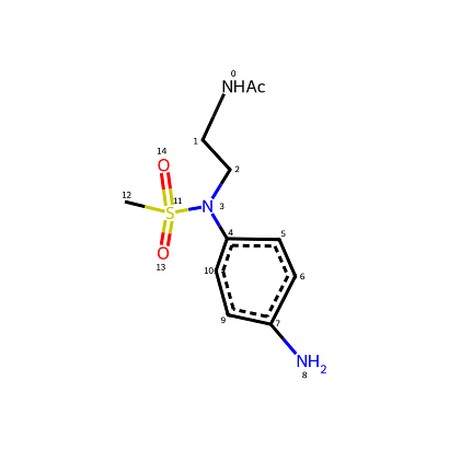 CC(=O)NCCN(c1ccc(N)cc1)S(C)(=O)=O